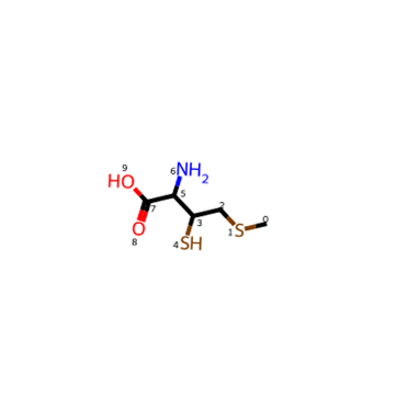 CSCC(S)C(N)C(=O)O